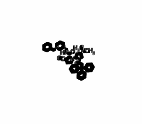 CN(C)[C@H]1C[C@@H](N2CCC(=C=O)[C@@H]2C(=O)NC[C@H]2CCCN(CC3CCCCC3)C2)N(C(=O)CC(c2ccccc2)(c2ccccc2)c2ccccc2)C1